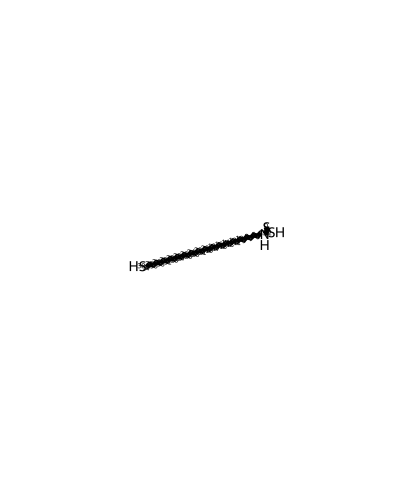 S=C(S)NCCCCCCCCCCCCCCCCCCCCCCCCCCCCCCCCCCS